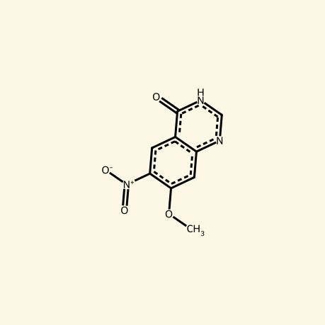 COc1cc2nc[nH]c(=O)c2cc1[N+](=O)[O-]